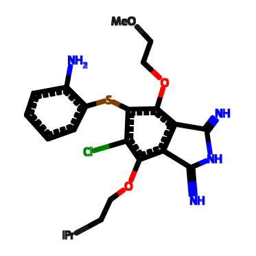 COCCOc1c(Sc2ccccc2N)c(Cl)c(OCCC(C)C)c2c1C(=N)NC2=N